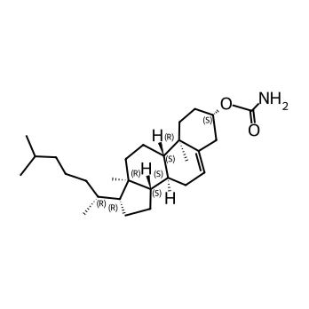 CC(C)CCC[C@@H](C)[C@H]1CC[C@H]2[C@@H]3CC=C4C[C@@H](OC(N)=O)CC[C@]4(C)[C@H]3CC[C@]12C